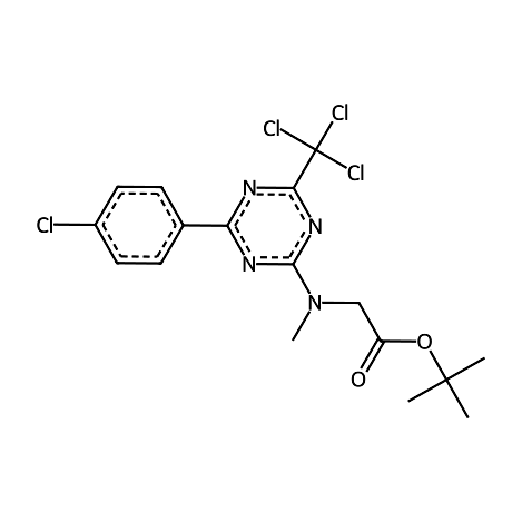 CN(CC(=O)OC(C)(C)C)c1nc(-c2ccc(Cl)cc2)nc(C(Cl)(Cl)Cl)n1